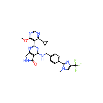 COc1ncnc(C2CC2)c1-c1nc2c(c(NCc3ccc(-c4nc(C(F)(F)F)cn4C)cc3)n1)C(=O)NC2